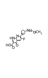 COCCNC1CCN(c2nc3[nH]cc(C(=O)O)c(=O)c3cc2F)C1